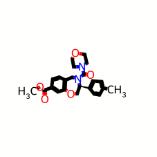 COC(=O)c1ccc2c(c1)OC[C@H](c1ccc(C)cc1)N(C(=O)N1CCOCC1)C2